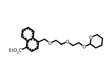 CCOC(=O)c1ccc(COCCOCCOC2CCCCO2)c2ccccc12